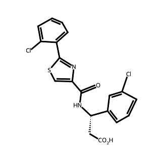 O=C(O)C[C@H](NC(=O)c1csc(-c2ccccc2Cl)n1)c1cccc(Cl)c1